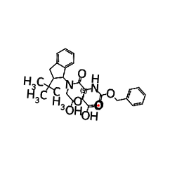 CC(C)(C)C1Cc2ccccc2C1N(CC(=O)O)C(=O)[C@H](CC(=O)O)NC(=O)OCc1ccccc1